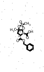 C[C@]1(OS(C)(=O)=O)C[C@@H](C(=O)OCc2ccccc2)N(C(=O)O)C1